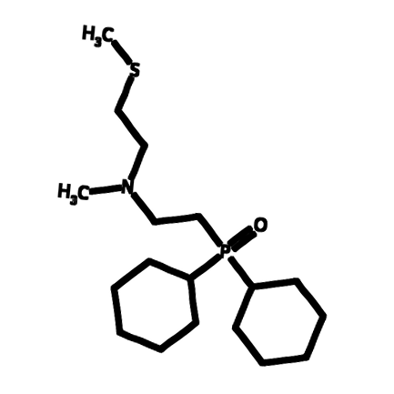 CSCCN(C)CCP(=O)(C1CCCCC1)C1CCCCC1